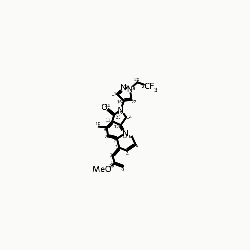 C=C(/C=C(\C=C/C)c1cc(C)c2c(n1)CN(c1cnn(CC(F)(F)F)c1)C2=O)OC